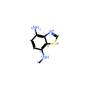 CNc1ccc(N)c2ncsc12